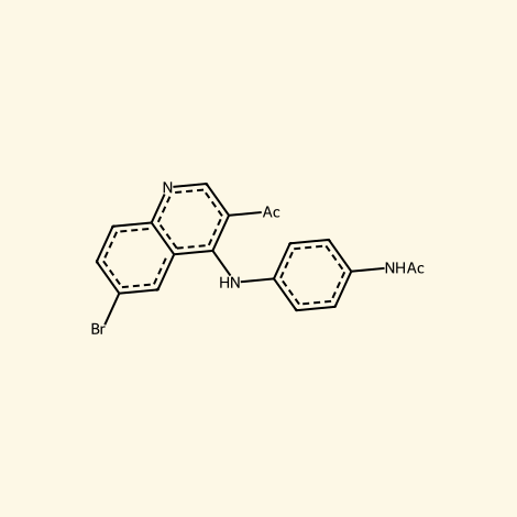 CC(=O)Nc1ccc(Nc2c(C(C)=O)cnc3ccc(Br)cc23)cc1